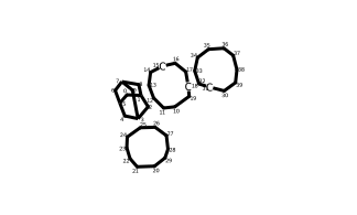 C1C2CC3CC1CC(C2)C3.C1CCCCCCCCC1.C1CCCCCCCCC1.C1CCCCCCCCC1